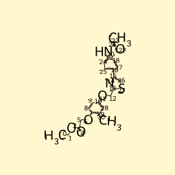 CCOC(=O)COc1ccc(OCc2nc(-c3ccc(NC(C)=O)cc3)cs2)cc1C